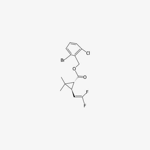 CC1(C)[C@H](C=C(F)F)[C@H]1C(=O)OCc1c(Cl)cccc1Br